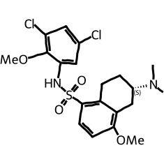 COc1ccc(S(=O)(=O)Nc2cc(Cl)cc(Cl)c2OC)c2c1C[C@@H](N(C)C)CC2